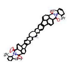 CC(C)c1cccc(C(C)C)c1N1C(=O)C2=CC=C3c4cc5cc6c(cc5cc4C4=CC=C(C1=O)C2C34)CCc1cc2cc3c(cc2cc1/C=C\6)C1=CC=C2C(=O)N(c4c(C(C)C)cccc4C(C)C)C(=O)C4=CC=C3C1C24